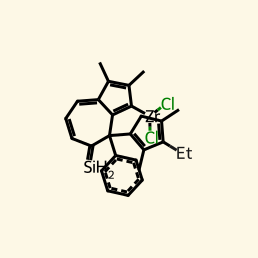 CCC1=C(C)CC(C2(c3ccccc3)C(=[SiH2])C=CC=C3C(C)=C(C)[C]([Zr]([Cl])[Cl])=C32)=C1C